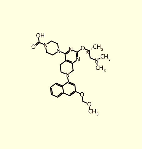 COCOc1cc(N2CCc3c(nc(O[C@H](C)CN(C)C)nc3N3CCN(C(=O)O)CC3)C2)c2ccccc2c1